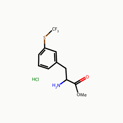 COC(=O)C(N)Cc1cccc(SC(F)(F)F)c1.Cl